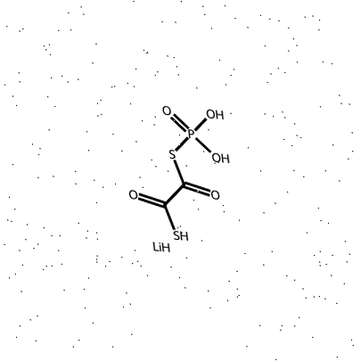 O=C(S)C(=O)SP(=O)(O)O.[LiH]